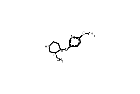 COc1ccc(O[C@@H]2CCNC[C@@H]2C)cn1